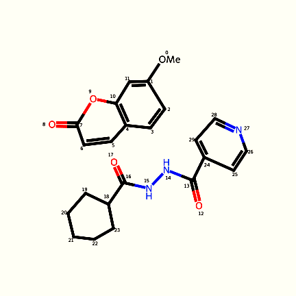 COc1ccc2ccc(=O)oc2c1.O=C(NNC(=O)C1CCCCC1)c1ccncc1